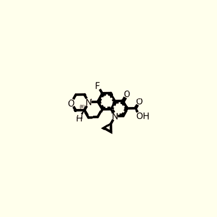 O=C(O)c1cn(C2CC2)c2c3c(c(F)cc2c1=O)N1CCOC[C@H]1CC3